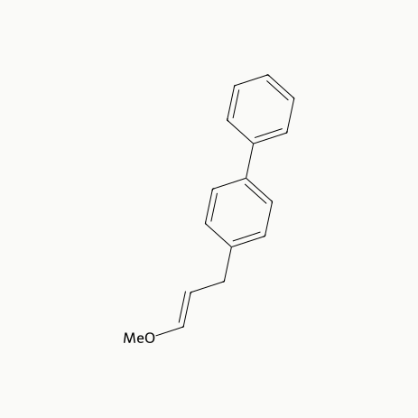 COC=CCc1ccc(-c2ccccc2)cc1